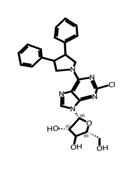 OC[C@H]1O[C@@H](n2cnc3c(N4CC(c5ccccc5)C(c5ccccc5)C4)nc(Cl)nc32)[C@@H](O)C1O